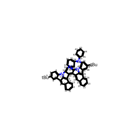 CC(C)(C)c1ccc2c(c1)c1cc3ccccc3c3c4c5c6cc7ccccc7c7c8cc(C(C)(C)C)cc(N(c9ccccc9)c9ccccc9)c8n(c5ncc4n2c13)c67